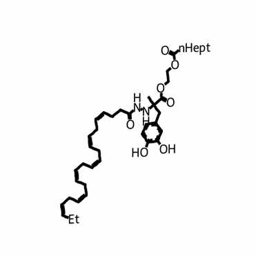 CC/C=C\C/C=C\C/C=C\C/C=C\C/C=C\C/C=C\CCC(=O)NNC(C)(Cc1ccc(O)c(O)c1)C(=O)OCCOC(=O)CCCCCCC